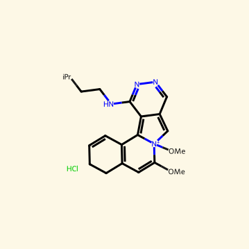 COC1=CC2=C(C=CCC2)C2=c3c(NCCC(C)C)nncc3=C[N+]12OC.Cl